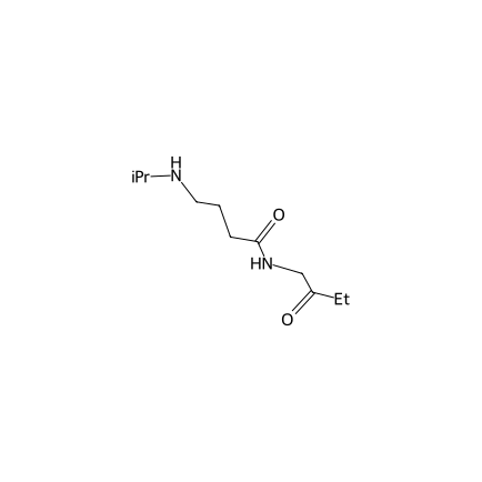 CCC(=O)CNC(=O)CCCNC(C)C